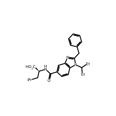 CCC(CC)n1c(Cc2ccccc2)nc2cc(C(=O)N[C@@H](CC(C)C)C(=O)O)ccc21